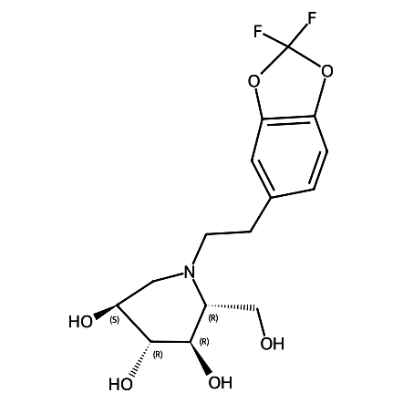 OC[C@@H]1[C@@H](O)[C@H](O)[C@@H](O)CN1CCc1ccc2c(c1)OC(F)(F)O2